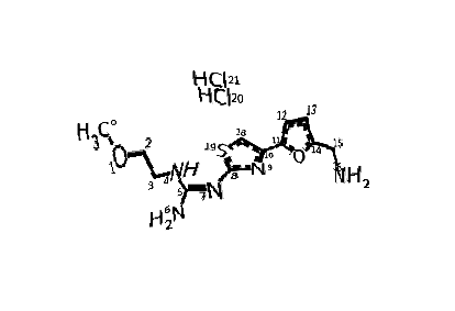 COCCNC(N)=Nc1nc(-c2ccc(CN)o2)cs1.Cl.Cl